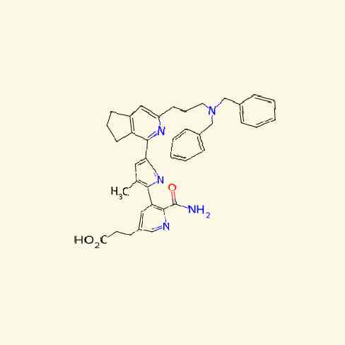 Cc1cc(-c2nc(CCCN(Cc3ccccc3)Cc3ccccc3)cc3c2CCC3)cnc1-c1cc(CCC(=O)O)cnc1C(N)=O